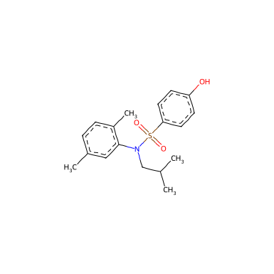 Cc1ccc(C)c(N(CC(C)C)S(=O)(=O)c2ccc(O)cc2)c1